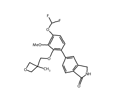 COc1c(OC(F)F)ccc(-c2ccc3c(c2)CNC3=O)c1OCC1(C)COC1